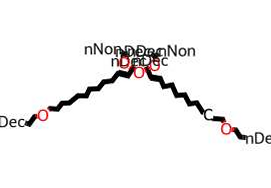 CCCCCCCCCCCCOCCCCCCCCCCC=CC(CCCCCCCCCC)(OC(CCCCCCCCC)CCCCCCCCCC)OC(C=CCCCCCCCCCCOCCCCCCCCCCCC)(CCCCCCCCCC)OC(CCCCCCCCC)CCCCCCCCCC